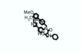 COc1ccc(C23CCC(CN(C(=O)C4C(O)CN4C4CCCCC4)c4cc(-c5cnn(C(C)(C)C)c5)ccn4)(CC2)CC3)cc1C